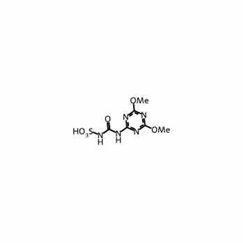 COc1nc(NC(=O)NS(=O)(=O)O)nc(OC)n1